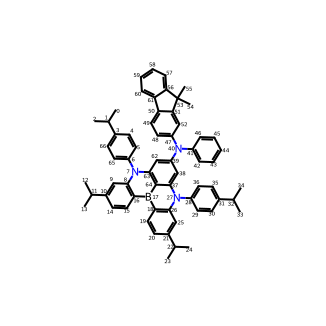 CC(C)c1ccc(N2c3cc(C(C)C)ccc3B3c4ccc(C(C)C)cc4N(c4ccc(C(C)C)cc4)c4cc(N(c5ccccc5)c5ccc6c(c5)C(C)(C)c5ccccc5-6)cc2c43)cc1